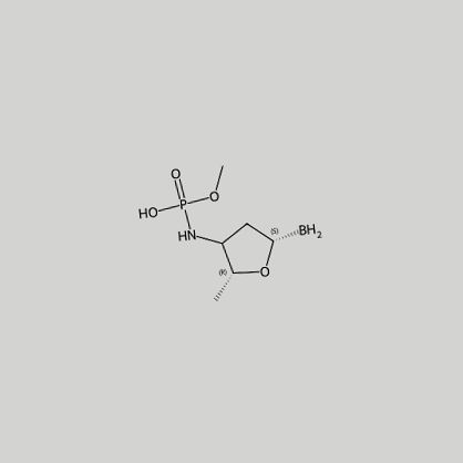 B[C@H]1CC(NP(=O)(O)OC)[C@@H](C)O1